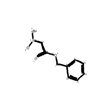 CC(C)(C)[S+]([O-])CC(=O)OCc1ccccc1